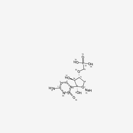 Nc1ccn([C@]2(O)OC[C@@H](OCP(=O)(O)O)[C@@H]2O)c(=O)n1.[NaH]